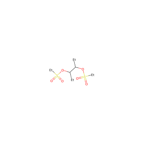 CCC(OS(=O)(=O)CC)C(CC)OS(=O)(=O)CC